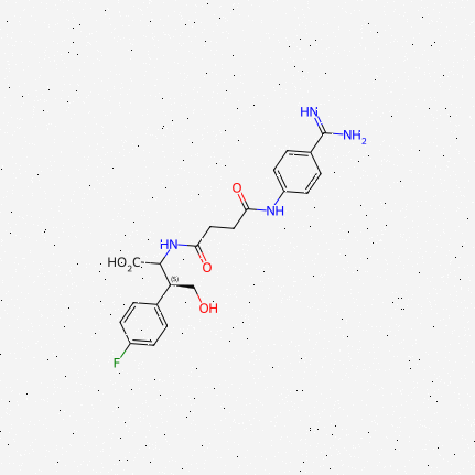 N=C(N)c1ccc(NC(=O)CCC(=O)NC(C(=O)O)[C@@H](CO)c2ccc(F)cc2)cc1